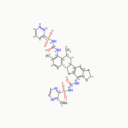 COc1nccnc1S(=O)(=O)NC(=O)Nc1c2c(cc3c1CCC3CC(C)c1cccc(C(C)C)c1NC(=O)NS(=O)(=O)c1cccnn1)CCC2